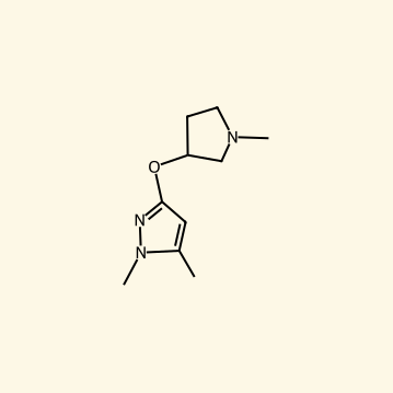 Cc1cc(OC2CCN(C)C2)nn1C